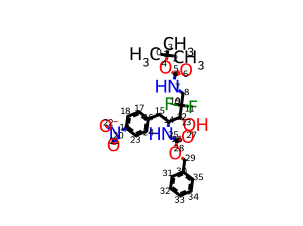 CC(C)(C)OC(=O)NCC(F)(F)C(O)C(Cc1ccc([N+](=O)[O-])cc1)NC(=O)OCc1ccccc1